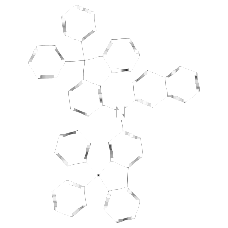 c1ccc(C2(c3ccccc3)c3ccccc3-c3ccc(N(c4ccc5ccccc5c4)c4cccc5c4-c4ccccc4C5(c4ccccc4)c4ccccc4)cc32)cc1